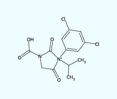 CC(C)[N+]1(c2cc(Cl)cc(Cl)c2)C(=O)CN(C(=O)O)C1=O